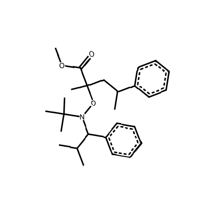 COC(=O)C(C)(CC(C)c1ccccc1)ON(C(c1ccccc1)C(C)C)C(C)(C)C